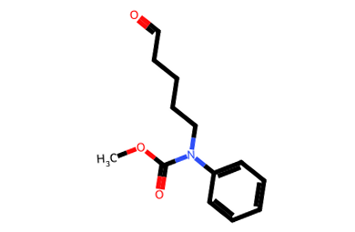 COC(=O)N(CCCCC=O)c1ccccc1